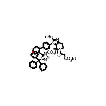 CCCCc1nc2c(n1-c1ccc(-c3ccccc3-c3nnnn3C(c3ccccc3)(c3ccccc3)c3ccccc3)cc1)C(C)(C(=O)O)N(C(=O)CC(=O)OCC)CC2